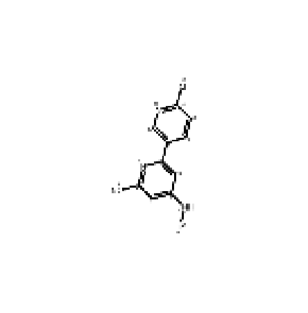 CC(C)Nc1cc(C#N)nc(-c2ccc(Cl)nc2)c1